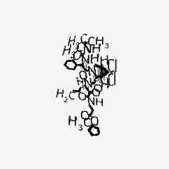 C=CCC[C@H](NC(=O)[C@@H]1[C@@H]2[C@H](CN1C(=O)[C@@H](NC(=O)NC(C)(C)C)C1CCCCC1)C2(Cl)Cl)C(=O)C(=O)NCCC(=O)OC1(C)CCCC1